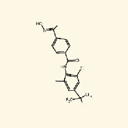 CCc1cc(C(F)(C(F)(F)F)C(F)(F)F)cc(C)c1NC(=O)c1ccc(C(C)=NO)cc1